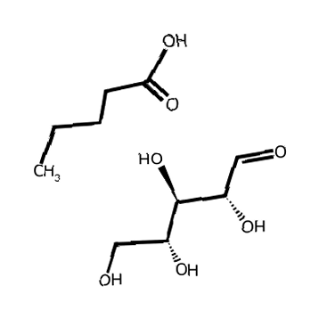 CCCCC(=O)O.O=C[C@H](O)[C@H](O)[C@H](O)CO